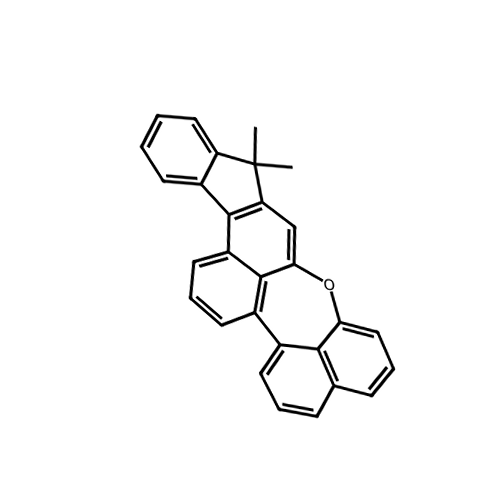 CC1(C)c2ccccc2-c2c1cc1oc3cccc4cccc(c5cccc2c15)c43